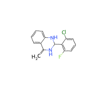 C=C1NC(c2c(F)cccc2Cl)Nc2ccccc21